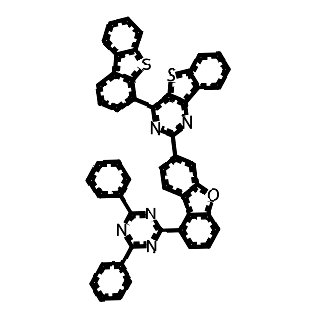 c1ccc(-c2nc(-c3ccccc3)nc(-c3cccc4oc5cc(-c6nc(-c7cccc8c7sc7ccccc78)c7sc8ccccc8c7n6)ccc5c34)n2)cc1